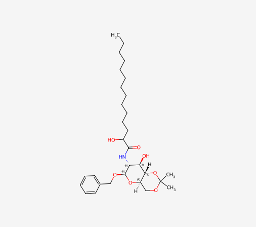 CCCCCCCCCCCCC(O)C(=O)N[C@H]1[C@H](OCc2ccccc2)O[C@@H]2COC(C)(C)O[C@H]2[C@@H]1O